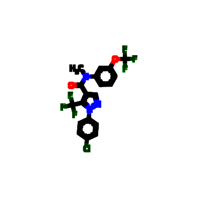 CN(C(=O)c1cnn(-c2ccc(Cl)cc2)c1C(F)(F)F)c1cccc(OC(F)(F)F)c1